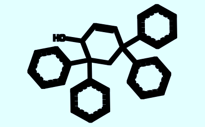 OC1C=CC(c2ccccc2)(c2ccccc2)CC1(c1ccccc1)c1ccccc1